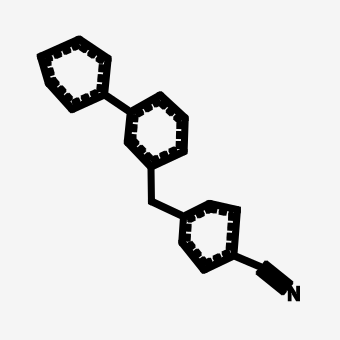 N#Cc1ccc(Cc2cccc(-c3ccccc3)c2)cc1